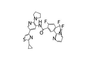 O=C(Nc1cc(-c2csc(C3CC3)n2)cnc1N1CCCC1)c1cc(-c2ncccn2)c(C(F)(F)F)cc1F